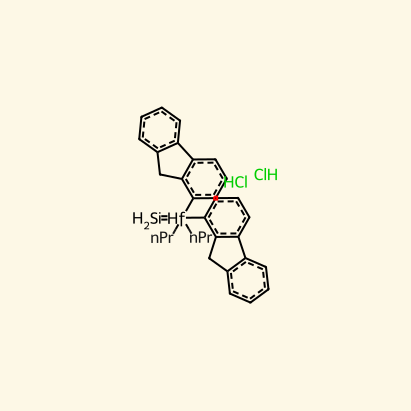 CC[CH2][Hf](=[SiH2])([CH2]CC)([c]1cccc2c1Cc1ccccc1-2)[c]1cccc2c1Cc1ccccc1-2.Cl.Cl